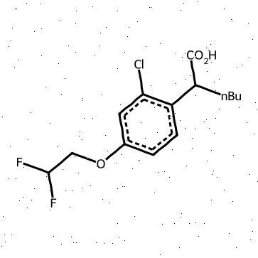 CCCCC(C(=O)O)c1ccc(OCC(F)F)cc1Cl